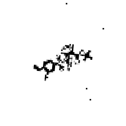 C=Cc1ccc(S(=O)(=O)N(PC)c2scnc2C(=O)OC(C)(C)C)cc1F